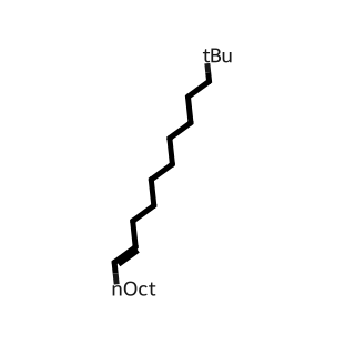 CCCCCCCCC=CCCCCCCCCC(C)(C)C